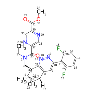 CCN(C[C@@]12CC[C@@H](c3cc(-c4c(F)cccc4F)nnc31)C2(C)C)C(=O)c1cnc(C(=O)OC)cn1